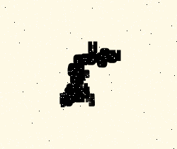 COc1cc2c(Oc3ccc(NC(=O)c4c(C)n(C)c5ccc(OC(F)(F)F)cc5c4=O)cc3F)ncnc2cc1OCCCC(=O)N1CCC(CC(=O)Nc2ccc3c(c2)CN(C2CCC(=O)NC2=O)C3=O)CC1